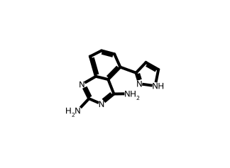 Nc1nc(N)c2c(-c3cc[nH]n3)cccc2n1